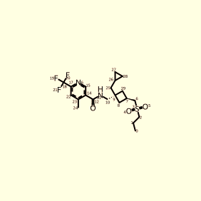 CCCS(=O)(=O)C[C@H]1C[C@@](CNC(=O)c2cnc(C(F)(F)F)cc2C)(CC2CC2)C1